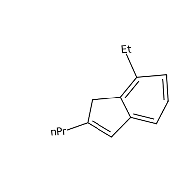 CCCC1=Cc2cccc(CC)c2C1